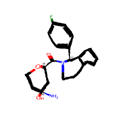 N[C@@]1(O)CCO[C@@H](C(=O)N2CCc3ccccc3[C@@H]2c2ccc(F)cc2)C1